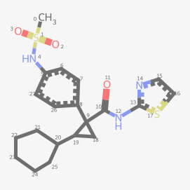 CS(=O)(=O)Nc1ccc(C2(C(=O)Nc3nccs3)CC2C2CCCCC2)cc1